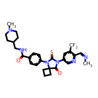 C/N=C\c1ncc(N2C(=O)C3(CCC3)N(c3ccc(C(=O)NCC4CCN(C)CC4)cc3)C2=S)cc1C(F)(F)F